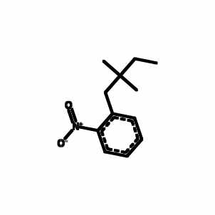 CCC(C)(C)Cc1ccccc1[N+](=O)[O-]